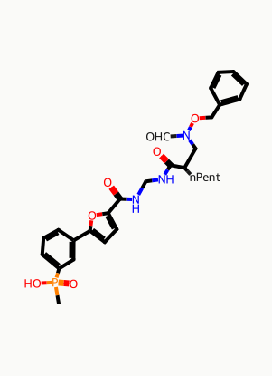 CCCCCC(CN(C=O)OCc1ccccc1)C(=O)NCNC(=O)c1ccc(-c2cccc(P(C)(=O)O)c2)o1